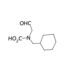 O=CCN(CC1CCCCC1)C(=O)O